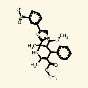 COC(=O)C1=C(C)NC(C)(c2nc(-c3cccc([N+](=O)[O-])c3)cs2)C(C(=O)OC)C1c1ccccc1